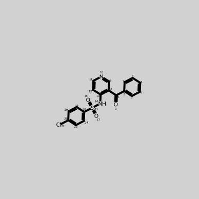 O=C(c1ccccc1)c1cnccc1NS(=O)(=O)c1ccc(Cl)cc1